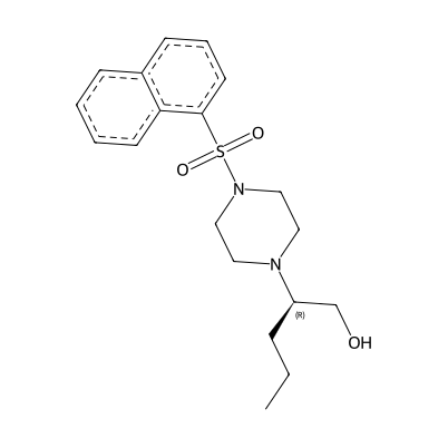 CCC[C@H](CO)N1CCN(S(=O)(=O)c2cccc3ccccc23)CC1